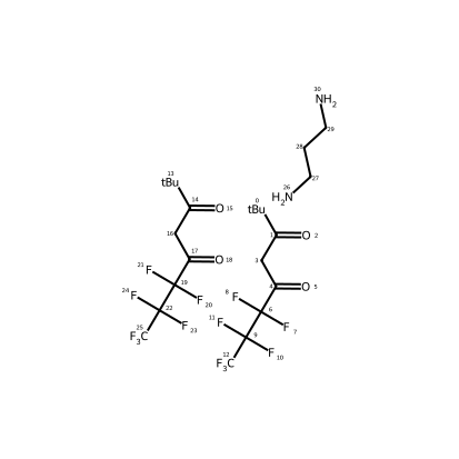 CC(C)(C)C(=O)CC(=O)C(F)(F)C(F)(F)C(F)(F)F.CC(C)(C)C(=O)CC(=O)C(F)(F)C(F)(F)C(F)(F)F.NCCCN